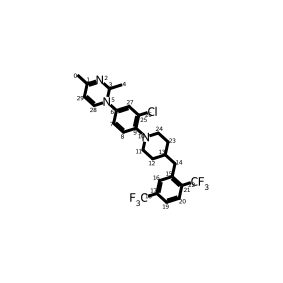 CC1=NC(C)N(c2ccc(N3CCC(Cc4cc(C(F)(F)F)ccc4C(F)(F)F)CC3)c(Cl)c2)C=C1